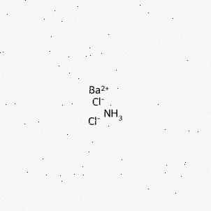 N.[Ba+2].[Cl-].[Cl-]